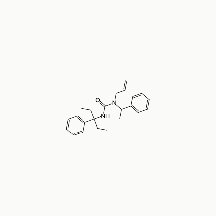 C=CCN(C(=O)NC(CC)(CC)c1ccccc1)C(C)c1ccccc1